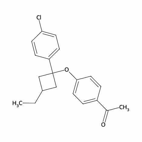 CCC1CC(Oc2ccc(C(C)=O)cc2)(c2ccc(Cl)cc2)C1